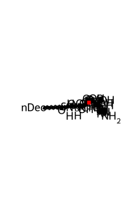 CCCCCCCCCCCCCCCCCCC(=O)SCCNC(=O)CCNC(=O)[C@H](O)C(C)(C)COP(=O)(O)OP(=O)(O)OC[C@H]1O[C@@H](n2cnc3c(N)ncnc32)[C@H](O)[C@@H]1OP(=O)(O)O